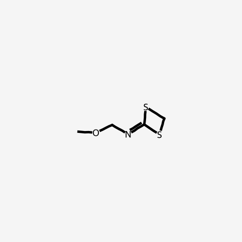 COCN=C1SCS1